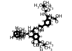 COc1c(C[C@H](NC(=O)Cn2cc(-c3ccc4c(c3)c(NC(=O)OC(C)(C)C)nn4C(=O)O)nn2)B2O[C@@H]3C[C@@H]4C[C@@H](C4(C)C)[C@]3(C)O2)cccc1C(=O)OC(C)(C)C